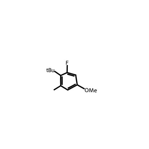 COc1cc(C)c(C(C)(C)C)c(F)c1